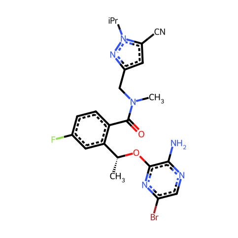 CC(C)n1nc(CN(C)C(=O)c2ccc(F)cc2[C@@H](C)Oc2nc(Br)cnc2N)cc1C#N